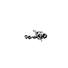 CC[C@@H](CNc1ccc(N2CCOCC2)cc1)NC(=O)[C@H](CC(C)C)N[C@@H](c1cccnc1)C(F)(F)F